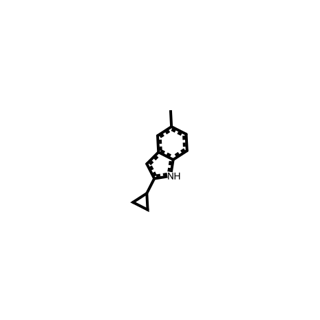 Cc1ccc2[nH]c(C3CC3)cc2c1